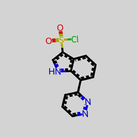 O=S(=O)(Cl)c1c[nH]c2c(-c3cccnn3)cccc12